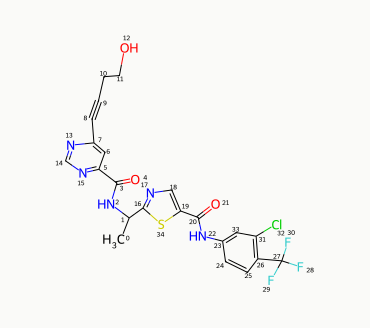 CC(NC(=O)c1cc(C#CCCO)ncn1)c1ncc(C(=O)Nc2ccc(C(F)(F)F)c(Cl)c2)s1